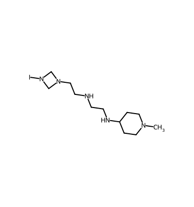 CN1CCC(NCCNCCN2CN(I)C2)CC1